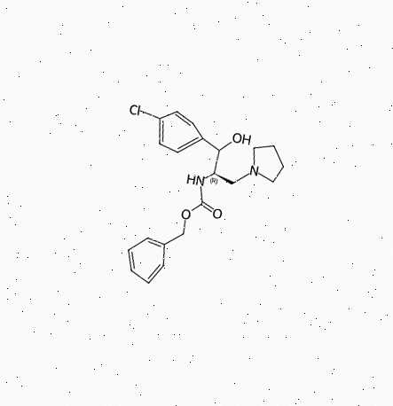 O=C(N[C@H](CN1CCCC1)C(O)c1ccc(Cl)cc1)OCc1ccccc1